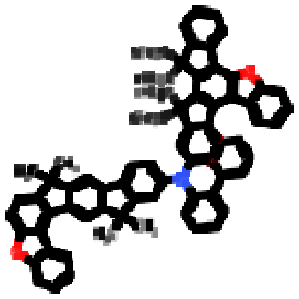 CCCCCCCC1(CCCCCCC)c2ccccc2-c2c1c1c(c3c2oc2ccccc23)-c2ccc(N(c3ccc4c(c3)C(C)(C)c3cc5c(cc3-4)C(C)(C)c3ccc4oc6ccccc6c4c3-5)c3ccccc3-c3ccccc3)cc2C1(CCCCCCC)CCCCCCC